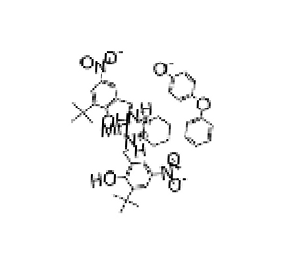 CC(C)(C)c1cc([N+](=O)[O-])cc(C=[N+]2[Mn][N+](=Cc3cc([N+](=O)[O-])cc(C(C)(C)C)c3O)[C@@H]3CCCC[C@H]32)c1O.[O-]c1ccc(Oc2ccccc2)cc1